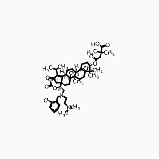 CC(=O)O[C@H](CN(CCN(C)C)Cc1ccccc1Cl)[C@@]12CC[C@]3(C)[C@H](CC[C@@H]4[C@@]5(C)CC[C@H](OC(=O)CC(C)(C)C(=O)O)C(C)(C)C5CC[C@]43C)C1=C(C(C)C)C(=O)C2